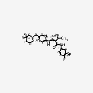 Cc1nsc(Nc2cnc(CN3CCCC(F)(F)C3)cn2)c1C(=O)Nc1ccc(F)c(F)c1